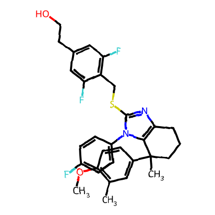 COc1ccc(C2(C)CCCc3nc(SCc4c(F)cc(CCO)cc4F)n(-c4ccc(F)cc4)c32)cc1C